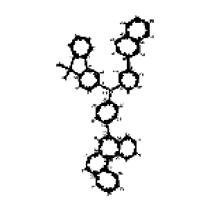 CC1(C)c2ccccc2-c2cc(N(c3ccc(-c4cc5ccc6ccccc6c5c5ccccc45)cc3)c3cccc(-c4ccc5ccccc5c4)c3)ccc21